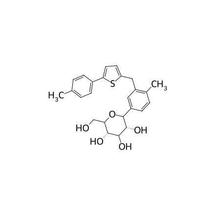 Cc1ccc(-c2ccc(Cc3cc(C4OC(CO)[C@@H](O)C(O)[C@H]4O)ccc3C)s2)cc1